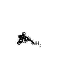 COc1ccc2c(c1)Oc1cc(OCCCN)ccc1C21OC(=O)c2ccccc21